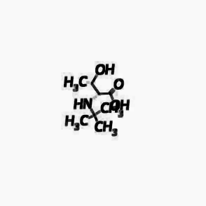 C[C@H](O)[C@@H](NC(C)(C)C)C(=O)O